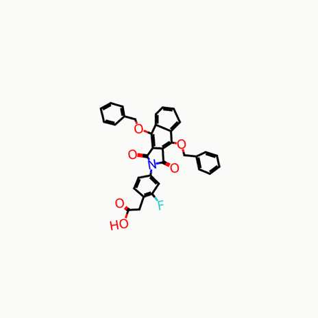 O=C(O)Cc1ccc(N2C(=O)c3c(c(OCc4ccccc4)c4ccccc4c3OCc3ccccc3)C2=O)cc1F